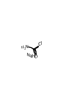 NC(=O)Cl.[NaH]